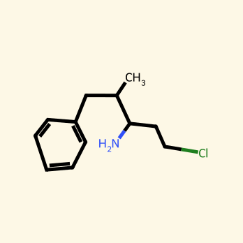 CC(Cc1ccccc1)C(N)CCCl